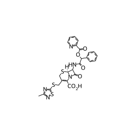 Cc1nsc(SCC2=C(C(=O)O)N3C(=O)C(NC(=O)C(OC(=O)c4ccccn4)c4ccccc4)[C@@H]3SC2)n1